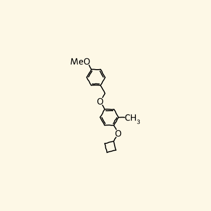 COc1ccc(COc2ccc(OC3CCC3)c(C)c2)cc1